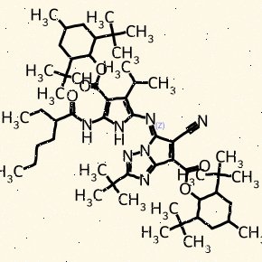 CCCCC(CC)C(=O)Nc1[nH]c(/N=C2/C(C#N)=C(C(=O)OC3C(C(C)(C)C)CC(C)CC3C(C)(C)C)c3nc(C(C)(C)C)nn32)c(C(C)C)c1C(=O)OC1C(C(C)(C)C)CC(C)CC1C(C)(C)C